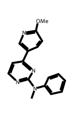 COc1ccc(-c2ccnc(N(C)c3ccccc3)n2)cn1